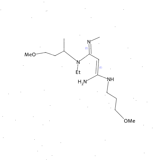 CCN(C(/C=C(\N)NCCCOC)=N/C)C(C)CCOC